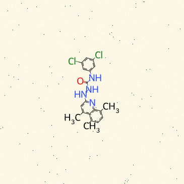 Cc1ccc(C)c2c(C)cc(NNC(=O)Nc3cc(Cl)cc(Cl)c3)nc12